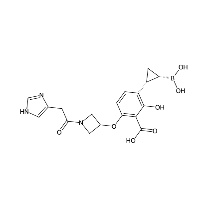 O=C(O)c1c(OC2CN(C(=O)Cc3c[nH]cn3)C2)ccc([C@@H]2C[C@@H]2B(O)O)c1O